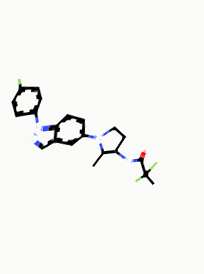 CC1C(NC(=O)C(C)(F)F)CCN1c1ccc2c(cnn2-c2ccc(F)cc2)c1